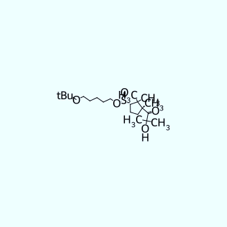 CC(C)(C)OCCCCCOS(=O)[C@H]1CC[C@@](C)(C(=O)C(C)(C)O)C1(C)C